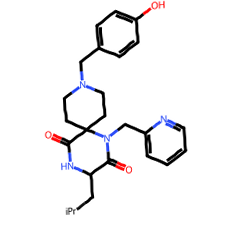 CC(C)CC1NC(=O)C2(CCN(Cc3ccc(O)cc3)CC2)N(Cc2ccccn2)C1=O